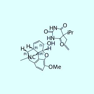 C=CCC1(C(C)C)C(=O)NC(=O)NC1=O.COc1ccc2c3c1O[C@H]1[C@@H](O)C=C[C@H]4[C@@H](C2)N(C)CC[C@@]341